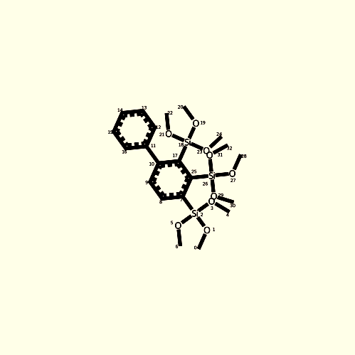 CO[Si](OC)(OC)c1ccc(-c2ccccc2)c([Si](OC)(OC)OC)c1[Si](OC)(OC)OC